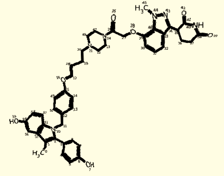 Cc1c(-c2ccc(O)cc2)n(Cc2ccc(OCCCCN3CCN(C(=O)COc4cccc5c(C6CCC(=O)NC6=O)nn(C)c45)CC3)cc2)c2ccc(O)cc12